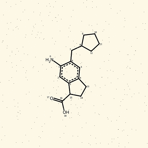 Nc1cc2c(cc1CC1CCCC1)CCC2C(=O)O